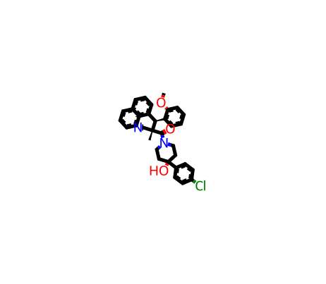 COc1ccccc1[C@H](c1cccc2ccccc12)[C@@](C)(C#N)C(=O)N1CCC(O)(c2ccc(Cl)cc2)CC1